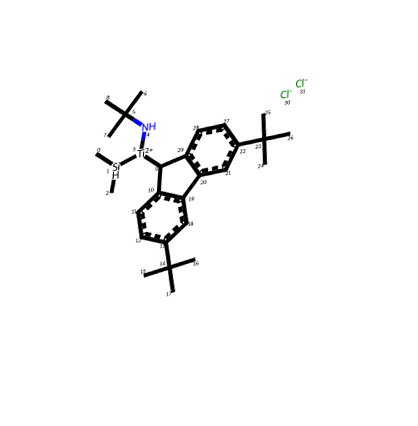 C[SiH](C)[Ti+2]([NH]C(C)(C)C)[CH]1c2ccc(C(C)(C)C)cc2-c2cc(C(C)(C)C)ccc21.[Cl-].[Cl-]